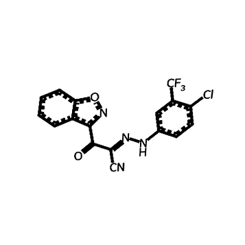 N#CC(=NNc1ccc(Cl)c(C(F)(F)F)c1)C(=O)c1noc2ccccc12